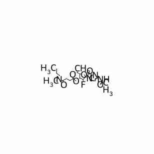 CCCCN(C)C(=O)CCC(=O)O[C@@H]1C(F)[C@H](n2ccc(NC(C)=O)nc2=O)O[C@@H]1CC